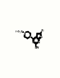 CCCc1nc(N2CCN(C(=O)O)CC2)c2cc(CC)sc2n1